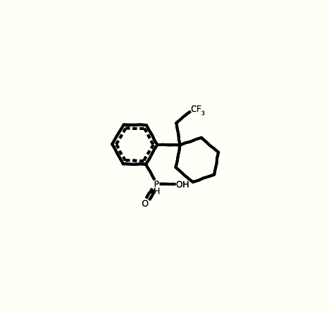 O=[PH](O)c1ccccc1C1(CC(F)(F)F)CCCCC1